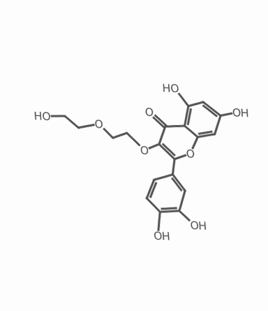 O=c1c(OCCOCCO)c(-c2ccc(O)c(O)c2)oc2cc(O)cc(O)c12